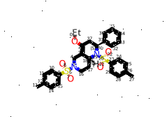 CCOC1=C2CN(S(=O)(=O)c3ccc(C)cc3)CC[C@@H]2N(S(=O)(=O)c2ccc(C)cc2)[C@H](c2ccccc2)C1